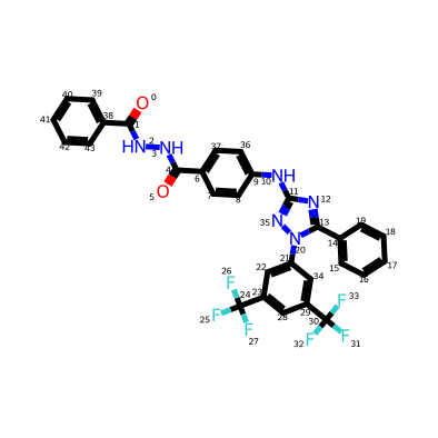 O=C(NNC(=O)c1ccc(Nc2nc(-c3ccccc3)n(-c3cc(C(F)(F)F)cc(C(F)(F)F)c3)n2)cc1)c1ccccc1